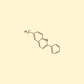 [CH2]c1ccc2nc(-c3ccccc3)ccc2c1